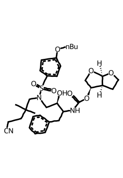 CCCCOc1ccc(S(=O)(=O)N(C[C@@H](O)C(Cc2ccccc2)NC(=O)O[C@H]2CO[C@H]3OCC[C@H]32)CC(C)(C)CCC#N)cc1